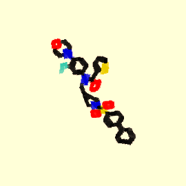 O=C(c1cccs1)N(CC1C2CN(S(=O)(=O)c3ccc(-c4ccccc4)cc3)CC12)c1ccc(N2CCOCC2)c(F)c1